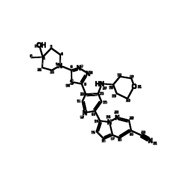 CC1(O)CCN(c2nnc(-c3cnc(-c4ccc5cc(C#N)cnn45)cc3NC3CCOCC3)s2)CC1